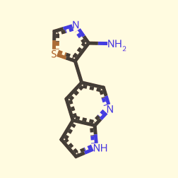 Nc1ncsc1-c1cnc2[nH]ccc2c1